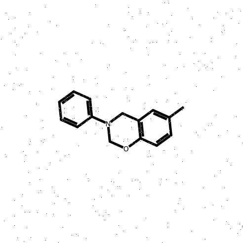 Cc1ccc2c(c1)CN(c1ccccc1)CO2